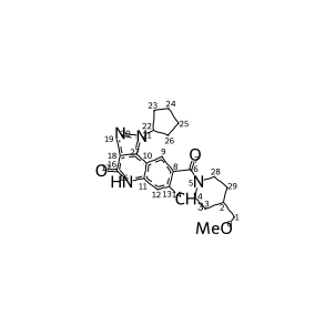 COCC1CCN(C(=O)c2cc3c(cc2C)[nH]c(=O)c2cnn(C4CCCC4)c23)CC1